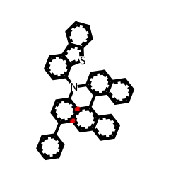 c1ccc(-c2ccc(N(c3ccc4ccccc4c3-c3cccc4ccccc34)c3cccc4c3sc3ccccc34)cc2)cc1